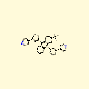 CC(C)(C)c1ccc2c(-c3cccc(-c4ccncc4)c3)c3ccccc3c(-c3cccc(-c4ccncc4)c3)c2c1